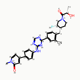 C[C@H](O)C(=O)N1CC[C@H](Cc2ccc(-c3ncnc(Nc4ccc(-c5ccn(C)c(=O)c5)cc4)n3)cc2C#N)[C@H](F)C1